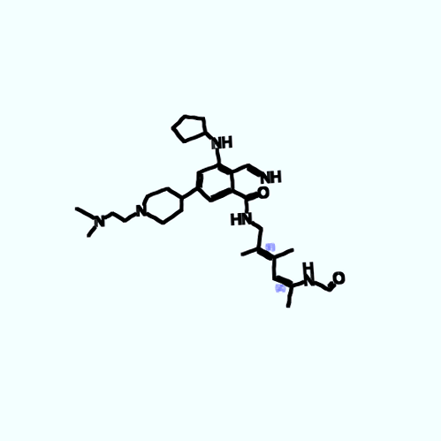 C/C(=C/C(C)=C(\C)CNC(=O)c1cc(C2CCN(CCN(C)C)CC2)cc(NC2CCCC2)c1C=N)NC=O